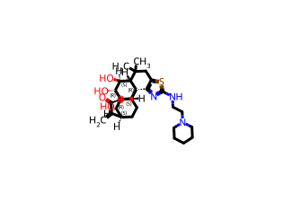 C=C1C(=O)[C@]23[C@H](O)[C@H]1CC[C@H]2[C@@]12CO[C@@]3(O)[C@@H](O)[C@@H]1C(C)(C)Cc1sc(NCCN3CCCCC3)nc12